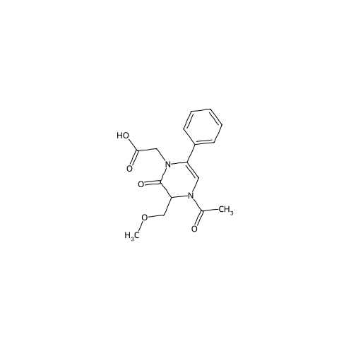 COCC1C(=O)N(CC(=O)O)C(c2ccccc2)=CN1C(C)=O